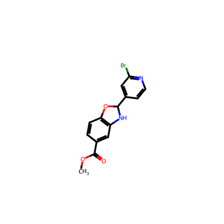 COC(=O)c1ccc2c(c1)NC(c1ccnc(Br)c1)O2